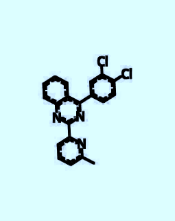 Cc1cccc(-c2nc(-c3ccc(Cl)c(Cl)c3)c3ccccc3n2)n1